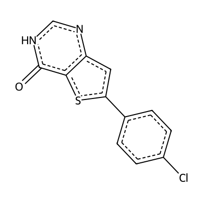 O=c1[nH]cnc2cc(-c3ccc(Cl)cc3)sc12